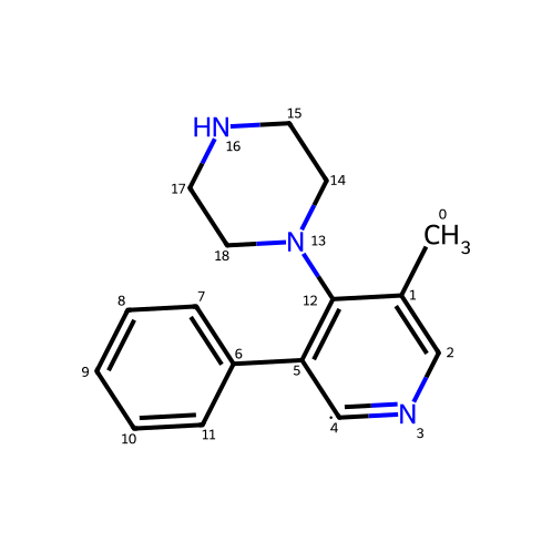 Cc1cn[c]c(-c2ccccc2)c1N1CCNCC1